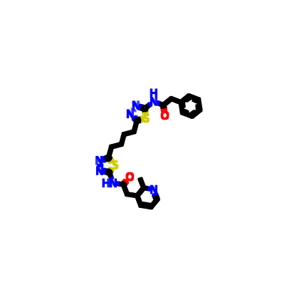 CC1N=CC=CC1CC(=O)Nc1nnc(CCCCc2nnc(NC(=O)Cc3ccccc3)s2)s1